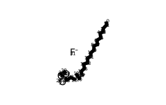 CCCCCCCCCCCCCCCCCC[N+](C)(C)CCC[Si](OC)(OC)OC.[F-]